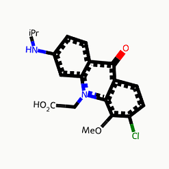 COc1c(Cl)ccc2c(=O)c3ccc(NC(C)C)cc3n(CC(=O)O)c12